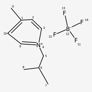 Cc1cc[n+](CC(C)C)cc1.F[B-](F)(F)F